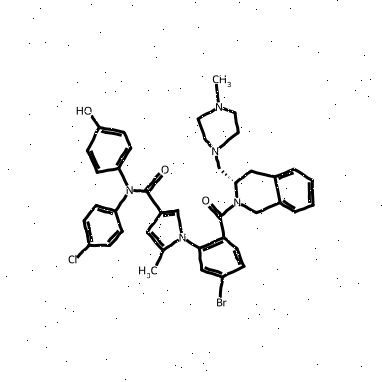 Cc1cc(C(=O)N(c2ccc(O)cc2)c2ccc(Cl)cc2)cn1-c1cc(Br)ccc1C(=O)N1Cc2ccccc2C[C@H]1CN1CCN(C)CC1